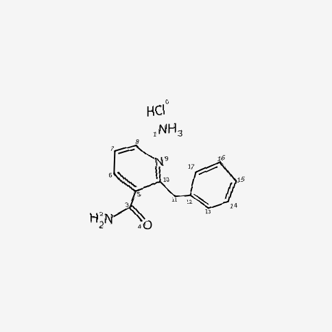 Cl.N.NC(=O)c1cccnc1Cc1ccccc1